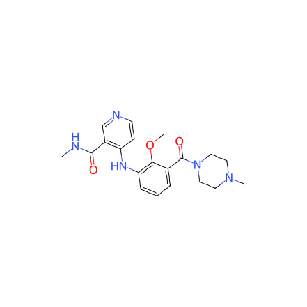 CNC(=O)c1cnccc1Nc1cccc(C(=O)N2CCN(C)CC2)c1OC